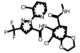 CNC(=O)c1cc2c(c(Cl)c1NC(=O)c1cc(C(F)(F)F)nn1-c1ncccc1Cl)OCCO2